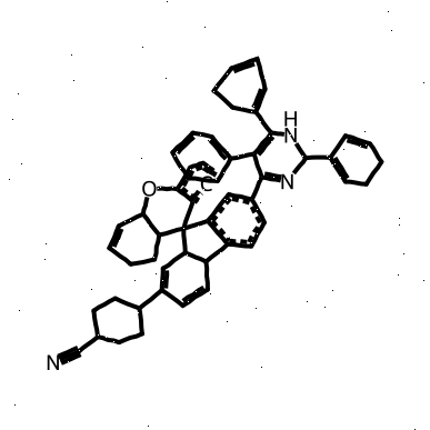 N#CC1CCC(C2=CC3C(C=C2)c2ccc(C4=NC(C5=CCCC=C5)NC(C5=CC=CCC5)=C4C4=CC=CCC4)cc2C32c3ccccc3OC3C=CCCC32)CC1